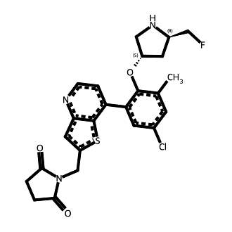 Cc1cc(Cl)cc(-c2ccnc3cc(CN4C(=O)CCC4=O)sc23)c1O[C@@H]1CN[C@@H](CF)C1